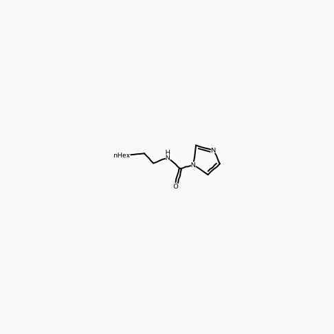 CCCCCCCCNC(=O)n1ccnc1